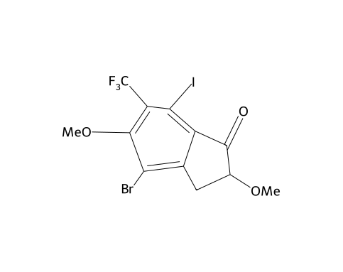 COc1c(Br)c2c(c(I)c1C(F)(F)F)C(=O)C(OC)C2